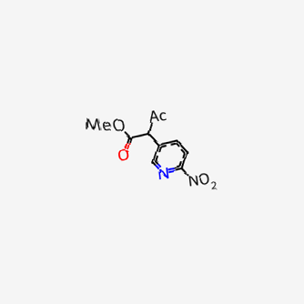 COC(=O)C(C(C)=O)c1ccc([N+](=O)[O-])nc1